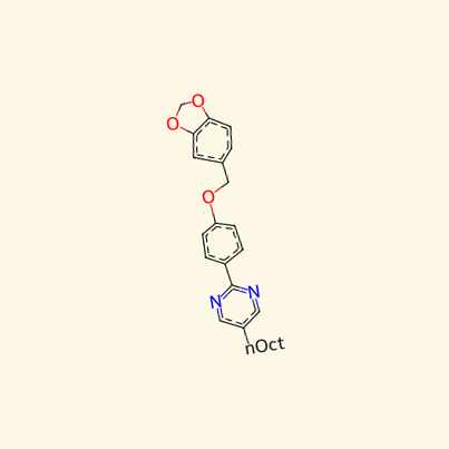 CCCCCCCCc1cnc(-c2ccc(OCc3ccc4c(c3)OCO4)cc2)nc1